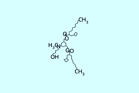 CCCCCCCCC(CC1CCC1)C(=O)OC[C@@H]1CC(N(C)CCCCO)C[C@H](COC(=O)C(CCCCCCCC)CC2CCC2)C1